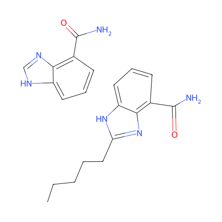 CCCCCc1nc2c(C(N)=O)cccc2[nH]1.NC(=O)c1cccc2[nH]cnc12